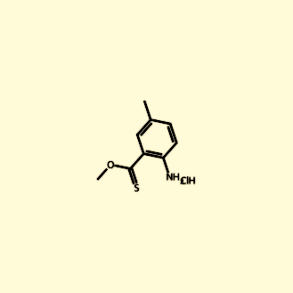 COC(=S)c1cc(C)ccc1N.Cl